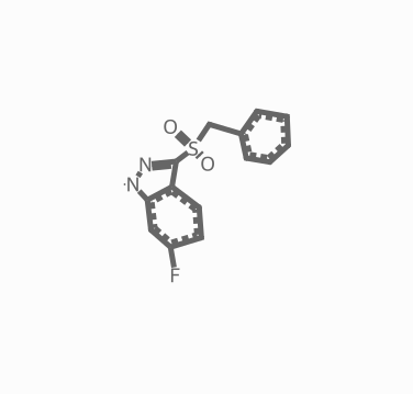 O=S(=O)(Cc1ccccc1)C1=N[N]c2cc(F)ccc21